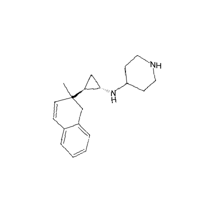 CC1([C@H]2C[C@@H]2NC2CCNCC2)C=Cc2ccccc2C1